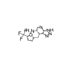 Nc1cnc2[nH]nnc2c1Cc1ccc(C(F)(F)F)o1